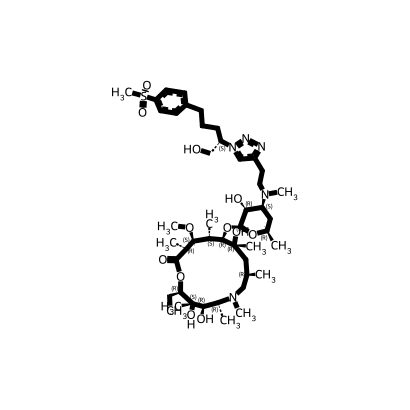 CC[C@H]1OC(=O)[C@H](C)[C@@H](OC)[C@H](C)[C@@H](O[C@@H]2O[C@H](C)C[C@H](N(C)CCc3cn([C@H](CO)CCCc4ccc(S(C)(=O)=O)cc4)nn3)[C@H]2O)[C@](C)(O)C[C@@H](C)CN(C)[C@H](C)[C@@H](O)[C@]1(C)O